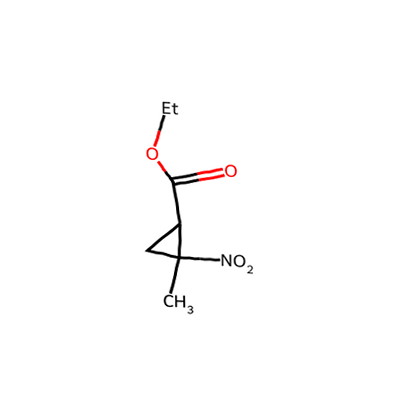 CCOC(=O)C1CC1(C)[N+](=O)[O-]